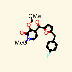 COCOc1c(C(=O)c2ccc(Cc3ccc(F)cc3)o2)ccn(OC)c1=O